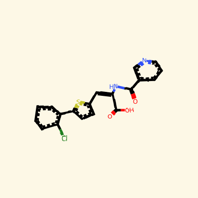 O=C(O)/C(=C\c1ccc(-c2ccccc2Cl)s1)NC(=O)c1cccnc1